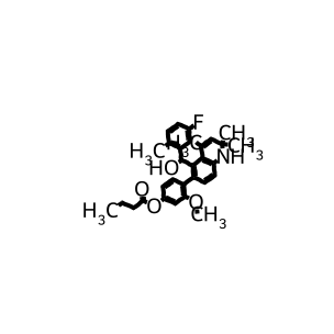 CCCC(=O)Oc1ccc(-c2ccc3c(c2C(O)c2cc(F)ccc2C)C(C)=CC(C)(C)N3)c(OC)c1